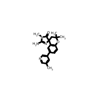 Cc1cncc(-c2ccc3c(c2)C2(CC(C)(C)O3)N=C(N)N(C)C2=O)c1